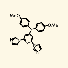 COc1ccc(N(c2ccc(OC)cc2)c2cc(-n3ccnc3)nc(-n3ccnc3)c2)cc1